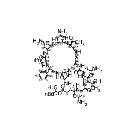 CCCCC(C)OC(=O)CCC(=O)N[C@@H](CCN)C(=O)N[C@H](C(=O)N[C@@H](CCN)C(=O)N[C@H]1CCNC(=O)[C@H]([C@H](C)O)NC(=O)[C@H](CCN)NC(=O)[C@H](CCN)NC(=O)[C@H](CC(C)C)NC(=O)[C@@H](Cc2ccccc2)NC(=O)[C@H](CCN)NC1)C(C)O